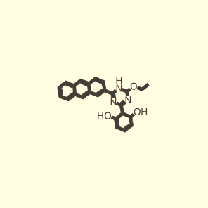 CCOC1N=C(C2C(O)=CC=CC2O)N=C(c2ccc3cc4ccccc4cc3c2)N1